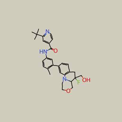 Cc1ccc(NC(=O)c2ccnc(C(C)(C)C)c2)cc1-c1ccc2c(c1)N1CCOCC1C(F)(CO)C2